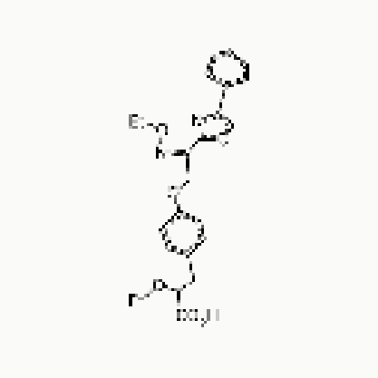 CCON=C(COc1ccc(CC(OCC)C(=O)O)cc1)c1nc(-c2ccccc2)co1